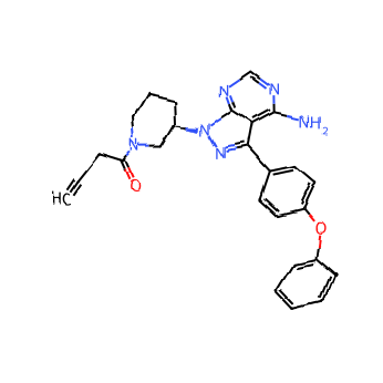 C#CCC(=O)N1CCC[C@@H](n2nc(-c3ccc(Oc4ccccc4)cc3)c3c(N)ncnc32)C1